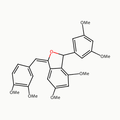 COc1cc(OC)cc(C2O/C(=C/c3ccc(OC)c(OC)c3)c3cc(OC)cc(OC)c32)c1